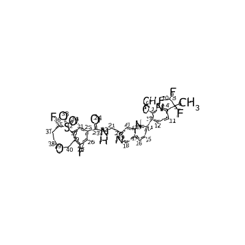 COc1nc(C(C)(F)C(F)F)ccc1-c1ccc2cnc(CNC(=O)c3cc(F)c4c(c3)S(=O)(=O)[C@@H](F)CCOC4)cc2n1